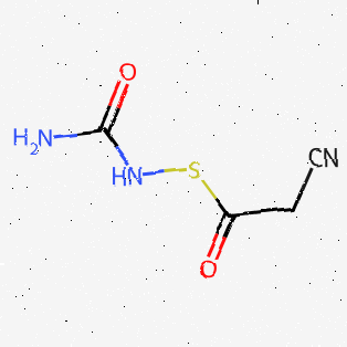 N#CCC(=O)SNC(N)=O